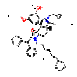 COc1cc(O)c2c3c1O[C@H]1[C@H](N(CCCCCCc4ccccc4)CC(c4ccccc4)c4ccccc4)CC[C@H]4[C@@H](C2)N(CC2CC2)CC[C@@]341